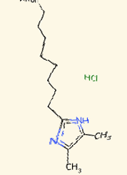 CCCCCCCCCCCCCCCCCc1nc(C)c(C)[nH]1.Cl